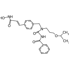 CC(C)OCCCN(Cc1ccc(C=CC(=O)NO)cc1)C(=O)NC(=O)c1ccccc1